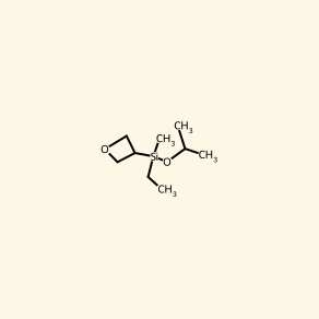 CC[Si](C)(OC(C)C)C1COC1